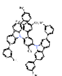 N#Cc1cccc(-c2ccc3c4ccc(-c5cccc(C#N)c5)cc4n(-c4cc(-c5cc(C(F)(F)F)cc(C(F)(F)F)c5)c(-n5c6cc(-c7cccc(C#N)c7)ccc6c6ccc(-c7cccc(C(F)(F)F)c7)cc65)cc4C#N)c3c2)c1